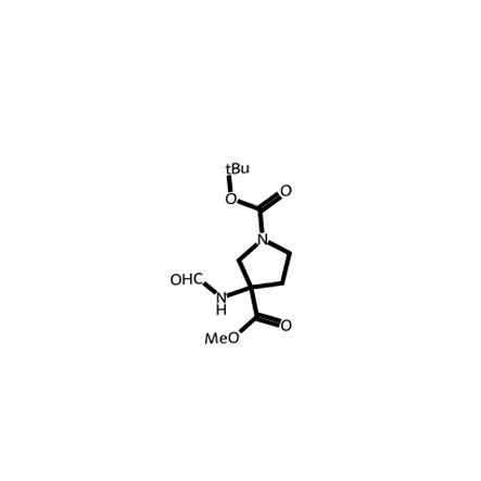 COC(=O)C1(NC=O)CCN(C(=O)OC(C)(C)C)C1